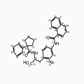 O=C(Nc1ccc(C[C@H](NC(=O)C2(c3ccccc3)CCCC2)C(=O)O)cc1)c1ccnc2ccccc12.[Na]